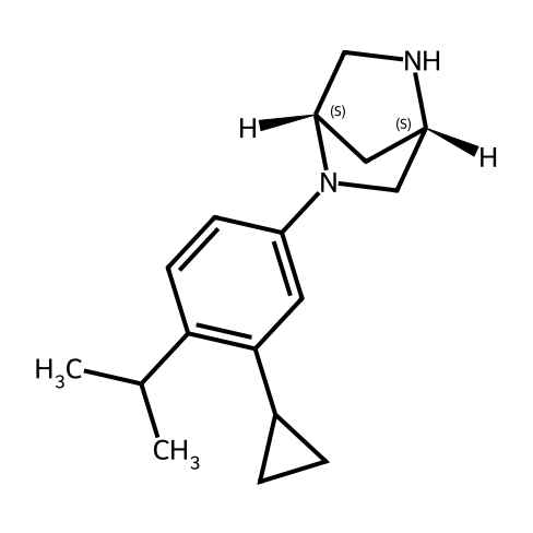 CC(C)c1ccc(N2C[C@@H]3C[C@H]2CN3)cc1C1CC1